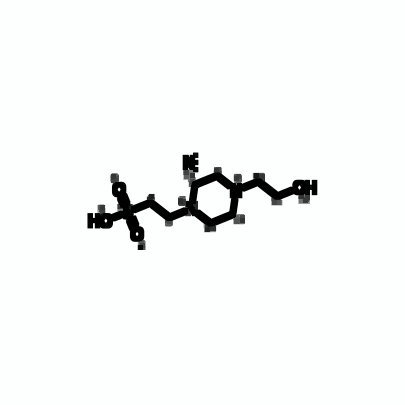 O=S(=O)(O)CCN1CCN(CCO)CC1.[N]